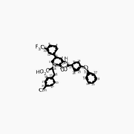 O=C(Nc1cc(-c2cccc(C(F)(F)F)c2)cn(C(Cc2ccc(Cl)cc2)C(=O)O)c1=O)c1ccc(Oc2ccccc2)cc1